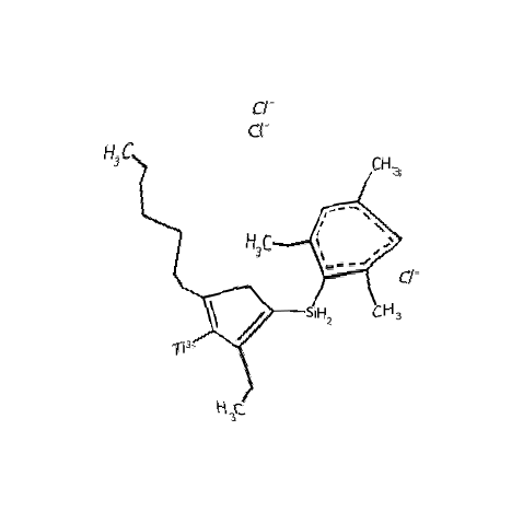 CCCCCC1=[C]([Ti+3])C(CC)=C([SiH2]c2c(C)cc(C)cc2C)C1.[Cl-].[Cl-].[Cl-]